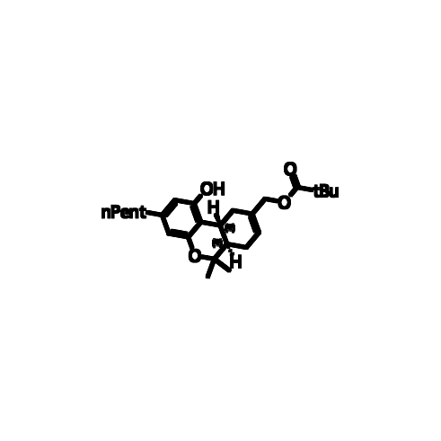 CCCCCc1cc(O)c2c(c1)OC(C)(C)[C@@H]1CC=C(COC(=O)C(C)(C)C)C[C@@H]21